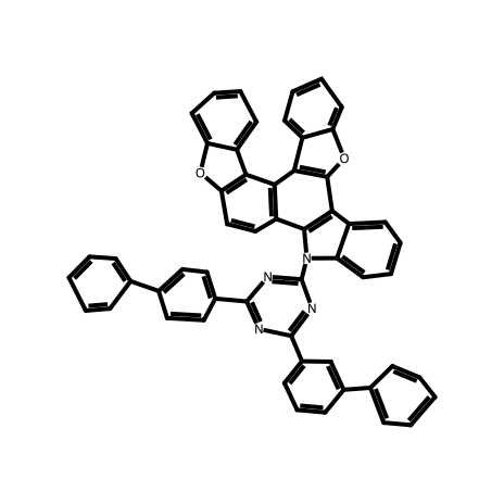 c1ccc(-c2ccc(-c3nc(-c4cccc(-c5ccccc5)c4)nc(-n4c5ccccc5c5c6oc7ccccc7c6c6c(ccc7oc8ccccc8c76)c54)n3)cc2)cc1